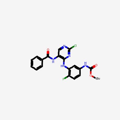 CC(C)(C)OC(=O)Nc1ccc(F)c(Nc2nc(Cl)ncc2NC(=O)c2ccccc2)c1